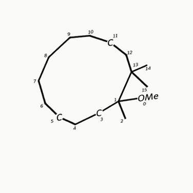 COC1(C)CCCCCCCCCCC1(C)C